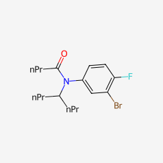 CCCC(=O)N(c1ccc(F)c(Br)c1)C(CCC)CCC